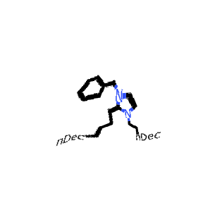 CCCCCCCCCCCCCCC1N(CCCCCCCCCCCC)C=CN1Cc1ccccc1